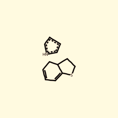 C1=CCC2CCSC2=C1.c1cc[nH]c1